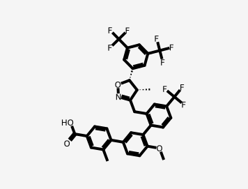 COc1ccc(-c2ccc(C(=O)O)cc2C)cc1-c1ccc(C(F)(F)F)cc1CC1=NO[C@H](c2cc(C(F)(F)F)cc(C(F)(F)F)c2)[C@@H]1C